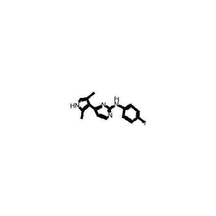 Cc1c[nH]c(C)c1-c1ccnc(Nc2ccc(I)cc2)n1